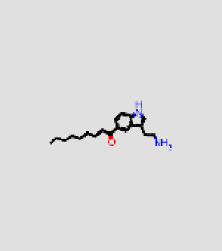 CCCCCCCCC(=O)c1ccc2[nH]cc(CCN)c2c1